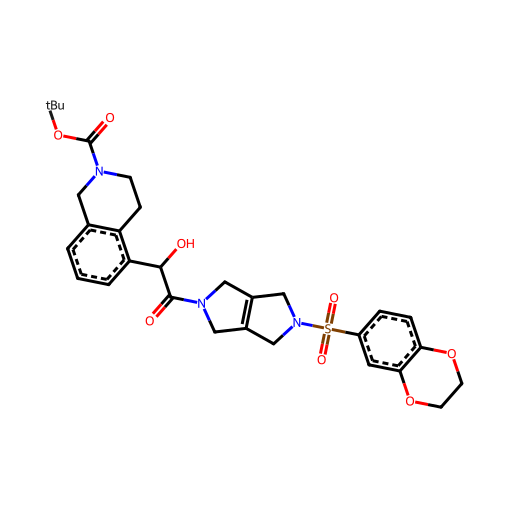 CC(C)(C)OC(=O)N1CCc2c(cccc2C(O)C(=O)N2CC3=C(C2)CN(S(=O)(=O)c2ccc4c(c2)OCCO4)C3)C1